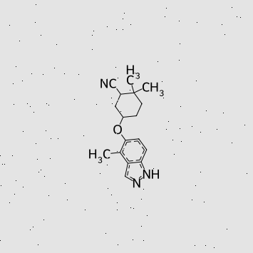 Cc1c(OC2CCC(C)(C)C(C#N)C2)ccc2[nH]ncc12